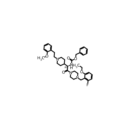 CCOc1cccc(F)c1CN1CCN(C(=O)[C@H](NC(=O)OCc2ccccc2)C2CCN(CCc3ccccc3OC)CC2)CC1